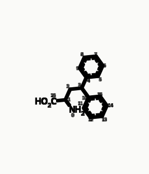 NC(CC(c1ccccc1)c1ccccc1)C(=O)O